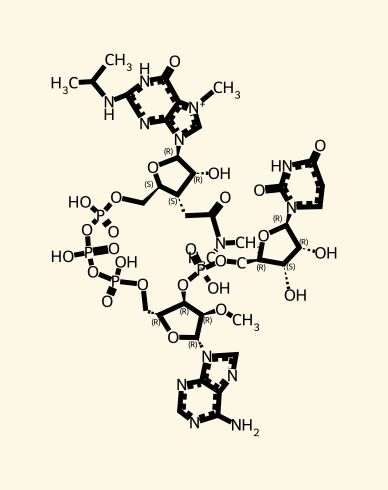 CO[C@@H]1[C@H](OP(=O)(O)OC[C@H]2O[C@@H](n3ccc(=O)[nH]c3=O)[C@H](O)[C@@H]2O)[C@@H](COP(=O)(O)OP(=O)(O)OP(=O)(O)OC[C@H]2O[C@@H](n3c[n+](C)c4c(=O)[nH]c(NC(C)C)nc43)[C@H](O)[C@@H]2CC(=O)N(C)C)O[C@H]1n1cnc2c(N)ncnc21